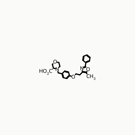 Cc1oc(-c2ccccc2)nc1CCOc1ccc(CN2CCOC[C@H]2C(=O)O)cc1